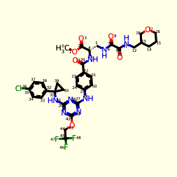 COC(=O)[C@H](CNC(=O)C(=O)NCC1CCCOC1)NC(=O)c1ccc(Nc2nc(NC3(c4ccc(Cl)cc4)CC3)nc(OCC(F)(F)F)n2)cc1